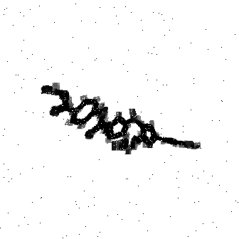 CC(C)(C)C#Cc1cc(N[C@H]2CCN(C(=O)OC3CCN(C(=O)OC(C)(C)C)CC3)C2)c(C(=O)O)s1